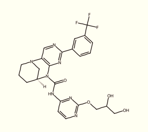 O=C(Nc1ccnc(OCC(O)CO)n1)N1c2nc(-c3cccc(C(F)(F)F)c3)ncc2N2CCC[C@H]1C2